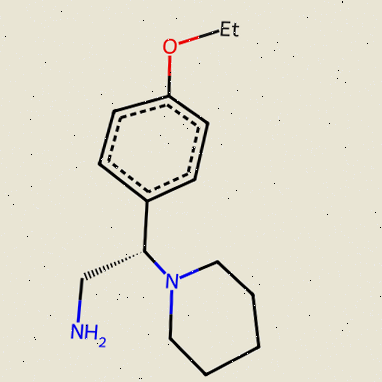 CCOc1ccc([C@@H](CN)N2CCCCC2)cc1